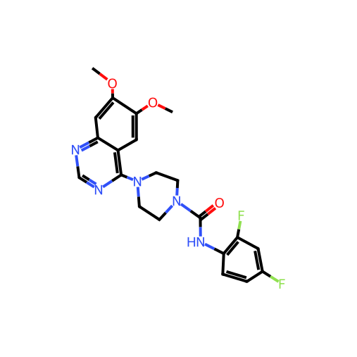 COc1cc2ncnc(N3CCN(C(=O)Nc4ccc(F)cc4F)CC3)c2cc1OC